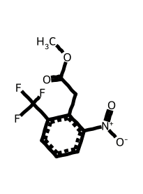 COC(=O)Cc1c([N+](=O)[O-])cccc1C(F)(F)F